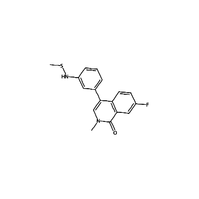 CSNc1cccc(-c2cn(C)c(=O)c3cc(F)ccc23)c1